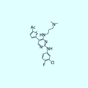 CC(=O)c1ccc(-c2cnc(Nc3ccc(F)c(Cl)c3)nc2NCCCN(C)C)s1